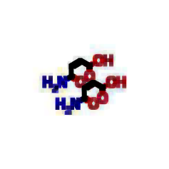 NC(=O)/C=C\C(=O)O.NC(=O)/C=C\C(=O)O